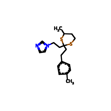 Cc1ccc(CCC2(CCn3ccnc3)SCCC(C)S2)cc1